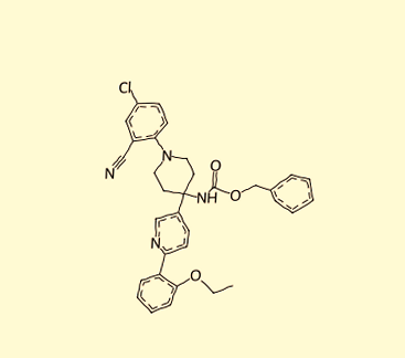 CCOc1ccccc1-c1ccc(C2(NC(=O)OCc3ccccc3)CCN(c3ccc(Cl)cc3C#N)CC2)cn1